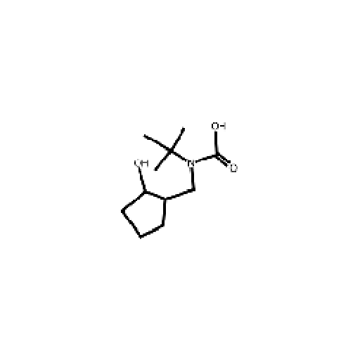 CC(C)(C)N(CC1CCCC1O)C(=O)O